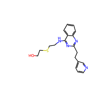 OCCSCCNc1nc(CCc2cccnc2)nc2ccccc12